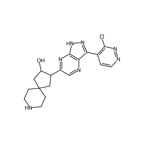 OC1CC2(CCNCC2)CC1c1cnc2c(-c3ccnnc3Cl)n[nH]c2n1